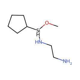 CO[SiH](NCCN)C1CCCC1